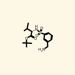 CC(C)[C@H](NS(=O)(=O)c1cccc(CN)c1)C(=O)OC(C)(C)C